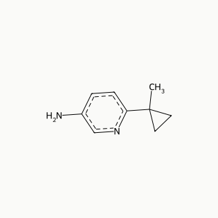 CC1(c2ccc(N)cn2)CC1